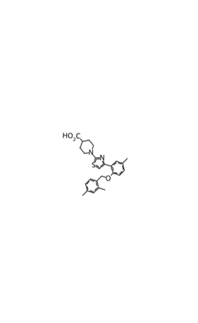 Cc1ccc(COc2ccc(C)cc2-c2csc(N3CCC(C(=O)O)CC3)n2)c(C)c1